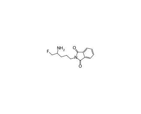 NC(CF)CCCN1C(=O)c2ccccc2C1=O